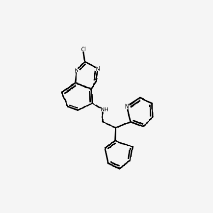 Clc1ncc2c(NCC(c3ccccc3)c3ccccn3)cccc2n1